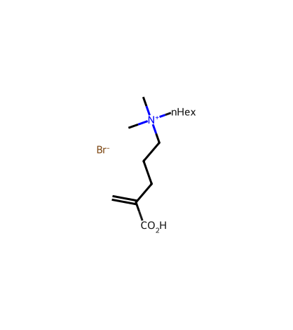 C=C(CCC[N+](C)(C)CCCCCC)C(=O)O.[Br-]